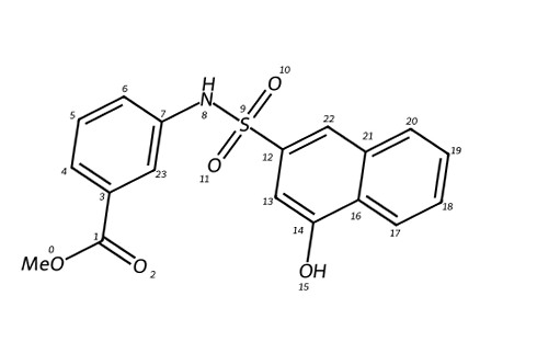 COC(=O)c1cccc(NS(=O)(=O)c2cc(O)c3ccccc3c2)c1